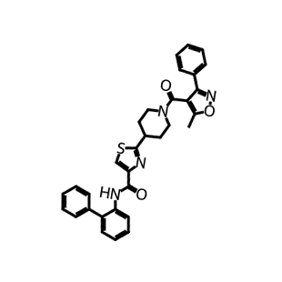 Cc1onc(-c2ccccc2)c1C(=O)N1CCC(c2nc(C(=O)Nc3ccccc3-c3ccccc3)cs2)CC1